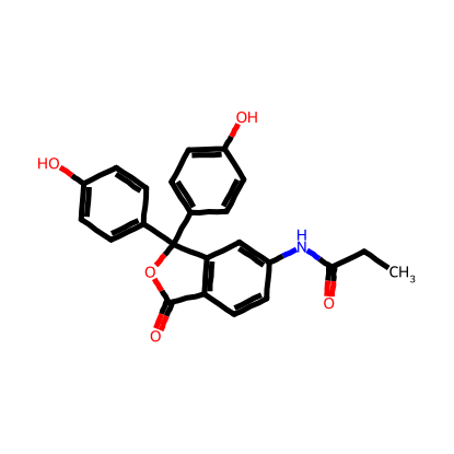 CCC(=O)Nc1ccc2c(c1)C(c1ccc(O)cc1)(c1ccc(O)cc1)OC2=O